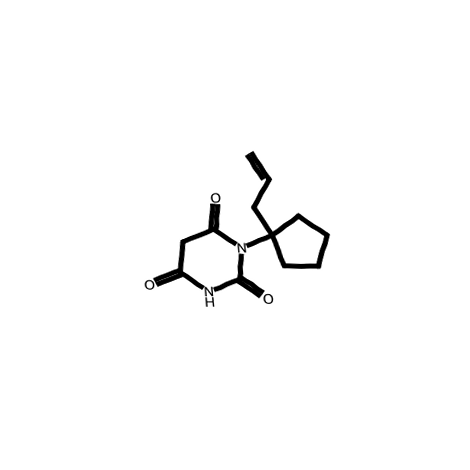 C=CCC1(N2C(=O)CC(=O)NC2=O)CCCC1